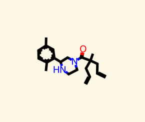 C=CCC(C)(CC=C)C(=O)N1CCNC(c2cc(C)ccc2C)C1